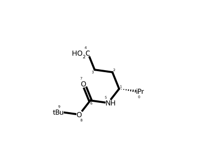 CC(C)[C@@H](CCC(=O)O)NC(=O)OC(C)(C)C